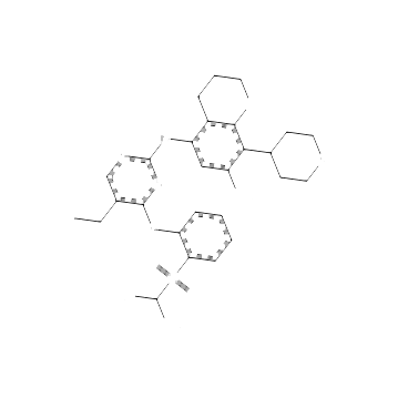 Cc1cc(Nc2ncc(CI)c(Nc3ccccc3S(=O)(=O)C(C)C)n2)c2c(c1C1CCNCC1)OCCC2